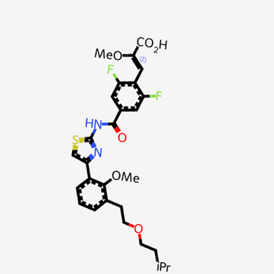 CO/C(=C\c1c(F)cc(C(=O)Nc2nc(-c3cccc(CCOCCC(C)C)c3OC)cs2)cc1F)C(=O)O